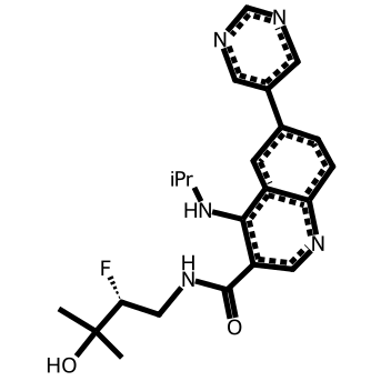 CC(C)Nc1c(C(=O)NC[C@@H](F)C(C)(C)O)cnc2ccc(-c3cncnc3)cc12